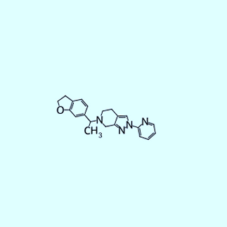 CC(c1ccc2c(c1)OCC2)N1CCc2cn(-c3ccccn3)nc2C1